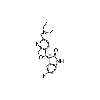 CCN(CC)Cc1ccc2c(n1)CO/C2=C1/C(=O)Nc2ccc(F)cc21